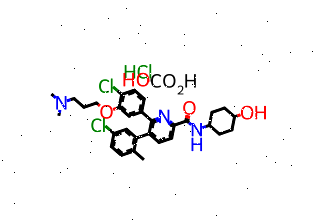 Cc1ccc(Cl)cc1-c1ccc(C(=O)NC2CCC(O)CC2)nc1-c1ccc(Cl)c(OCCCN(C)C)c1.Cl.O=C(O)O